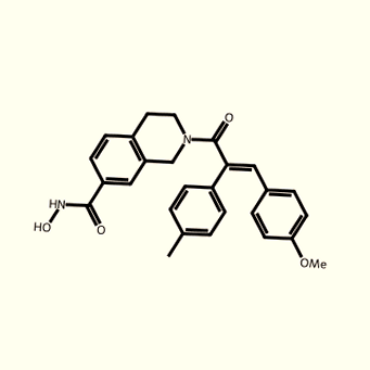 COc1ccc(/C=C(/C(=O)N2CCc3ccc(C(=O)NO)cc3C2)c2ccc(C)cc2)cc1